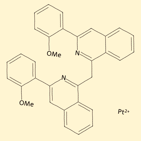 COc1ccccc1-c1cc2ccccc2c(Cc2nc(-c3ccccc3OC)cc3ccccc23)n1.[Pt+2]